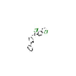 CC(C)Cc1c(Cl)ccc(C(C)(C)Cc2ccc(-c3ccccc3)cc2)c1Cl